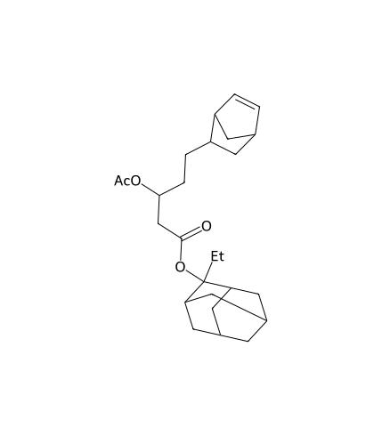 CCC1(OC(=O)CC(CCC2CC3C=CC2C3)OC(C)=O)C2CC3CC(C2)CC1C3